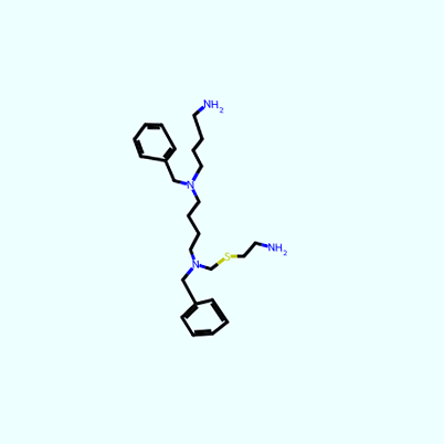 NCCCCN(CCCCN(CSCCN)Cc1ccccc1)Cc1ccccc1